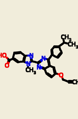 C#CCOc1ccc2nc(-c3nc4ccc(C(=O)O)cc4n3C)nc(-c3ccc(C(C)C)cc3)c2c1